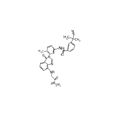 CNC(=O)CNc1cccc2c(=O)n(-c3cc(NC(=O)c4cccc(C(C)(C)C#N)c4)ccc3C)cnc12